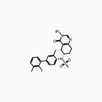 Cc1cccc(-c2cccc(C[C@@H]3c4c(ncn(C(C)C)c4=O)CC[C@@H]3NS(C)(=O)=O)c2)c1F